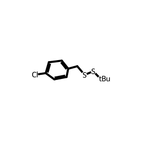 CC(C)(C)SSCc1ccc(Cl)cc1